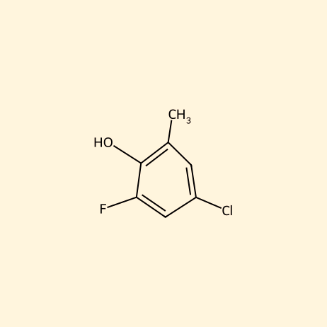 Cc1cc(Cl)cc(F)c1O